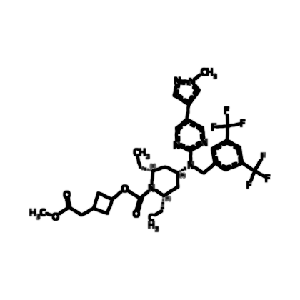 CC[C@@H]1C[C@H](N(Cc2cc(C(F)(F)F)cc(C(F)(F)F)c2)c2ncc(-c3cnn(C)c3)cn2)C[C@H](CC)N1C(=O)OC1CC(CC(=O)OC)C1